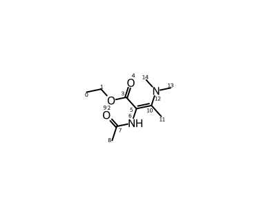 CCOC(=O)/C(NC(C)=O)=C(/C)N(C)C